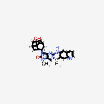 Cc1cc2ncccc2cc1Nc1ncc2c(n1)n(C13CC4CC5(O)CC(C1)C5(C4)C3)c(=O)n2C